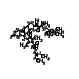 CCN(CC)CCNC(=O)c1c(C)[nH]c(/C=C2\C(=O)N(Cc3ccc(NC(=O)[C@@H](N)CCC(=O)OC(C)(C)C)cc3)c3ccc(F)cc32)c1C